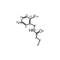 CCCC(=O)NCc1cc(C)ccc1F